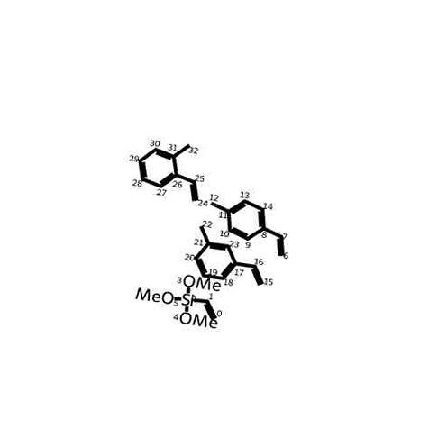 C=C[Si](OC)(OC)OC.C=Cc1ccc(C)cc1.C=Cc1cccc(C)c1.C=Cc1ccccc1C